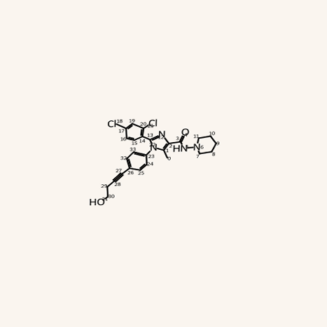 Cc1c(C(=O)NN2CCCCC2)nc(-c2ccc(Cl)cc2Cl)n1-c1ccc(C#CCCO)cc1